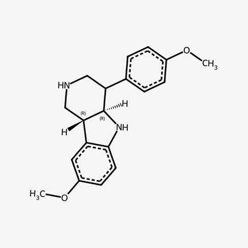 COc1ccc(C2CNC[C@H]3c4cc(OC)ccc4N[C@H]23)cc1